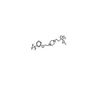 CC(C)CCN1CCN(CCOc2c[c]cc(C(F)(F)F)c2)CC1